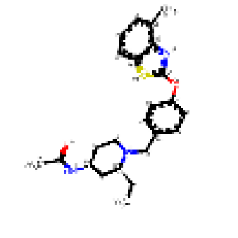 CC[C@H]1C[C@@H](NC(C)=O)CCN1Cc1ccc(Oc2nc3c(C)cccc3s2)cc1